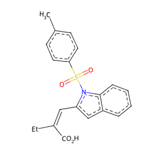 CCC(=Cc1cc2ccccc2n1S(=O)(=O)c1ccc(C)cc1)C(=O)O